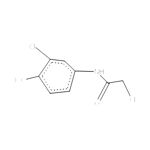 O=C(CCl)Nc1ccc(C(F)(F)F)c(Cl)c1